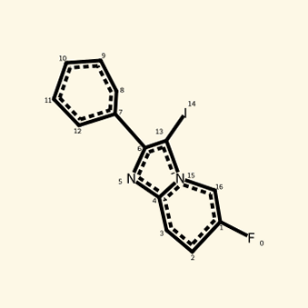 Fc1ccc2nc(-c3ccccc3)c(I)n2c1